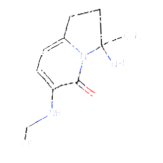 CC1(N)CCc2ccc(NCC(F)(F)F)c(=O)n21